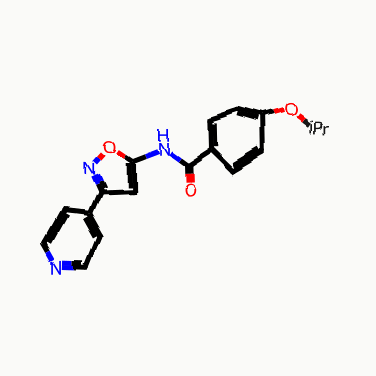 CC(C)Oc1ccc(C(=O)Nc2cc(-c3ccncc3)no2)cc1